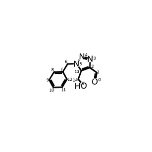 O=Cc1nnn(Cc2ccccc2)c1CO